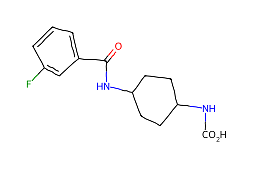 O=C(O)NC1CCC(NC(=O)c2cccc(F)c2)CC1